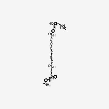 C=C(N)c1cccc(C(=O)/N=c2\[nH]c3ccccc3n2CCCCCNC(=O)CCOCCOCCOCCOCCOCCOCCNC(=O)c2ccc(/N=N/c3cc(CCNC(=O)OC(C)(C)C)ccc3O)cc2)c1